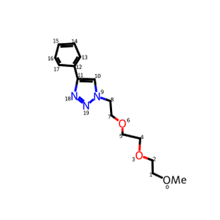 COCCOCCOCCn1cc(-c2ccccc2)nn1